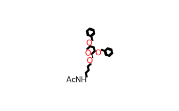 CC(=O)NCCCCCOC[C@H]1OC[C@H](OCc2ccccc2)C[C@@H]1OCc1ccccc1